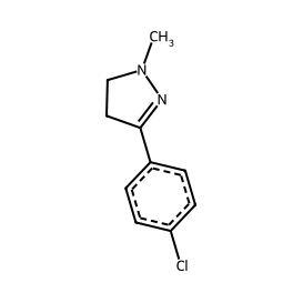 CN1CCC(c2ccc(Cl)cc2)=N1